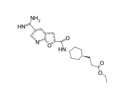 CCOC(=O)CC[C@H]1CC[C@H](NC(=O)c2cc3cc(C(=N)N)cnc3o2)CC1